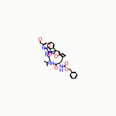 CC(C)[C@@H]1NC(=O)[C@@H](NC(=O)OCc2ccccc2)Cc2ccc3c(c2)C2(c4ccccc4NC2O3)c2oc1nc2-c1nc(C=O)co1